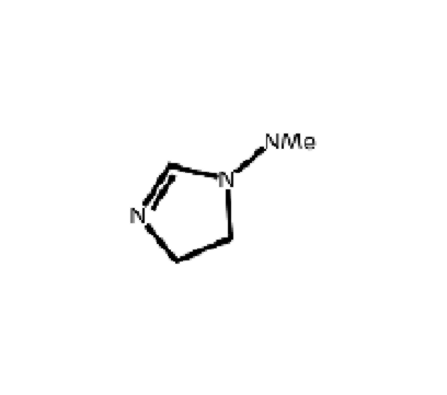 CNN1C=NCC1